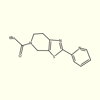 CC(C)(C)C(=O)N1CCc2nc(-c3ccccn3)sc2C1